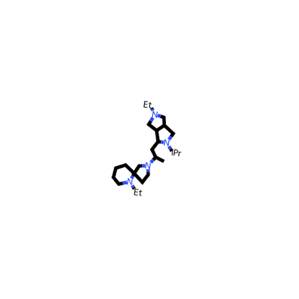 CCN1CC2CN(C(C)C)C(CC(C)N3CCC4(CCCCN4CC)C3)C2C1